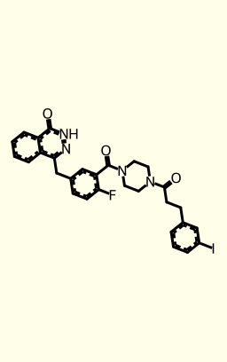 O=C(CCc1cccc(I)c1)N1CCN(C(=O)c2cc(Cc3n[nH]c(=O)c4ccccc34)ccc2F)CC1